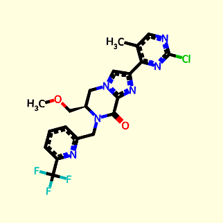 COC[C@H]1Cn2cc(-c3nc(Cl)ncc3C)nc2C(=O)N1Cc1cccc(C(F)(F)F)n1